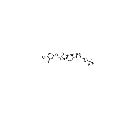 O=C(COc1ccc(Cl)c(F)c1)N[Si@H]1CC[C@H](c2nnc(N3CC(C(F)(F)F)C3)o2)NC1